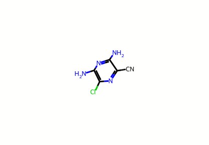 N#Cc1nc(Cl)c(N)nc1N